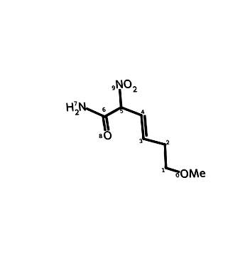 COCC/C=C/C(C(N)=O)[N+](=O)[O-]